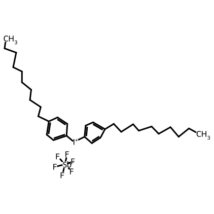 CCCCCCCCCCc1ccc([I+]c2ccc(CCCCCCCCCC)cc2)cc1.[F][Sb-]([F])([F])([F])([F])[F]